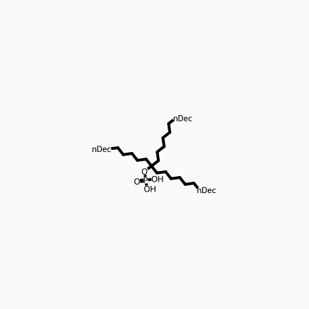 CCCCCCCCCCCCCCCCC(CCCCCCCCCCCCCCC)(CCCCCCCCCCCCCCCC)OP(=O)(O)O